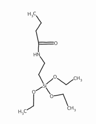 CCCC(=O)NCC[Si](OCC)(OCC)OCC